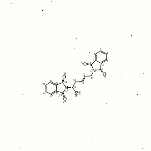 O=C1c2ccccc2C(=O)N1C/C=C/CC(S)N1C(=O)c2ccccc2C1=O